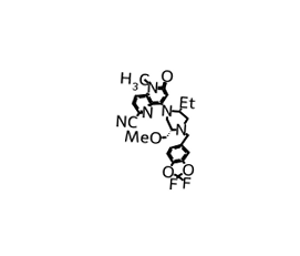 CC[C@H]1CN(Cc2ccc3c(c2)OC(F)(F)O3)[C@H](COC)CN1c1cc(=O)n(C)c2ccc(C#N)nc12